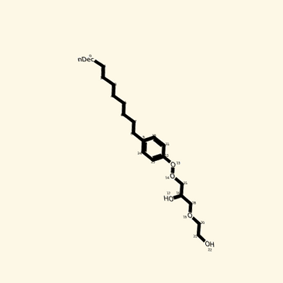 CCCCCCCCCCCCCCCCCCc1ccc(OOCC(O)COCCO)cc1